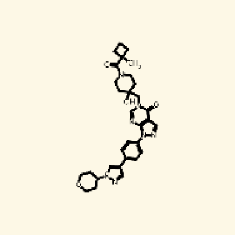 CC1(C(=O)N2CCC(O)(Cn3cnc4c(cnn4-c4ccc(-c5cnn(C6CCOCC6)c5)cc4)c3=O)CC2)CCC1